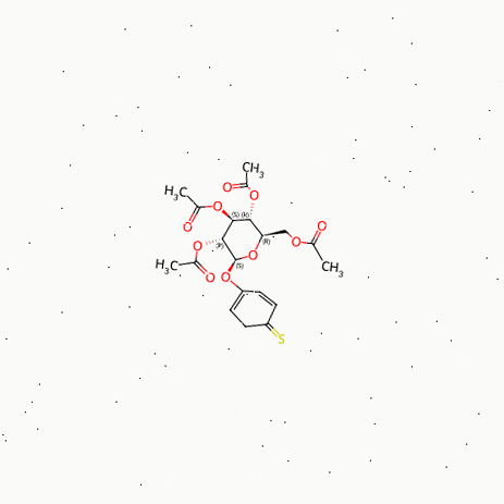 CC(=O)OC[C@H]1O[C@@H](OC2=CCC(=S)C=C2)[C@H](OC(C)=O)[C@@H](OC(C)=O)[C@@H]1OC(C)=O